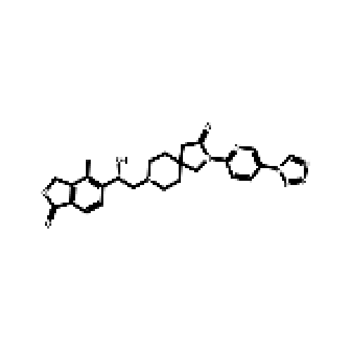 Cc1c([C@@H](O)CN2CCC3(CC2)CC(=O)N(c2ccc(-n4cnnn4)cn2)C3)ccc2c1COC2=O